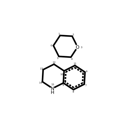 C1CCOCC1.c1ccc2c(c1)CCCN2